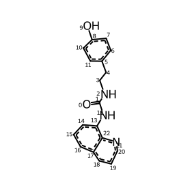 O=C(NCCc1ccc(O)cc1)Nc1cccc2cccnc12